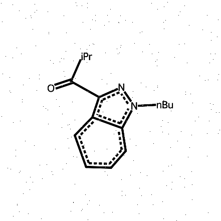 CCCCn1nc(C(=O)C(C)C)c2ccccc21